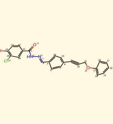 O=C(N/N=C/c1ccc(C#CCOc2ccccc2)cc1)c1ccc(O)c(Cl)c1